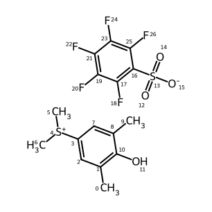 Cc1cc([S+](C)C)cc(C)c1O.O=S(=O)([O-])c1c(F)c(F)c(F)c(F)c1F